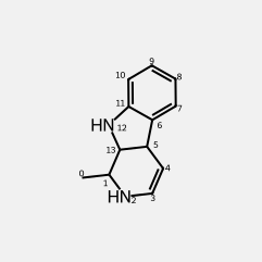 CC1NC=CC2c3ccccc3NC12